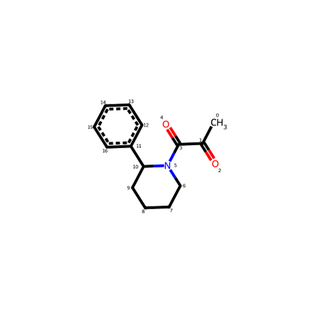 CC(=O)C(=O)N1CCCCC1c1ccccc1